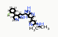 CC(C)Nc1cncc(-c2cnc3[nH]nc(-c4cc5c(-c6ccccc6F)ccnc5[nH]4)c3c2)c1